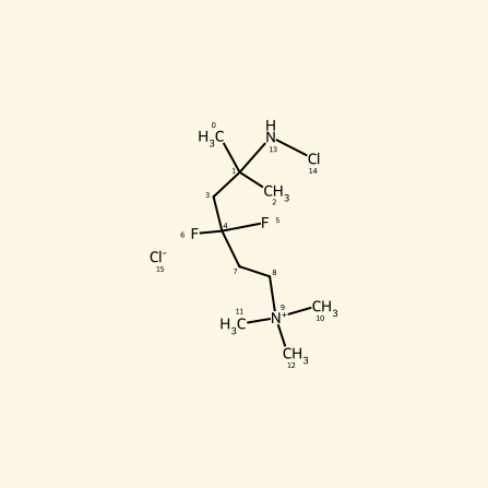 CC(C)(CC(F)(F)CC[N+](C)(C)C)NCl.[Cl-]